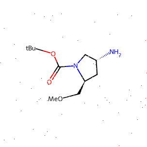 COC[C@@H]1C[C@@H](N)CN1C(=O)OC(C)(C)C